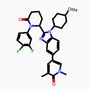 COC1CCC(n2c(C3CCCC(=O)N3c3ccc(F)c(F)c3)nc3cc(-c4cc(C)c(=O)n(C)c4)ccc32)CC1